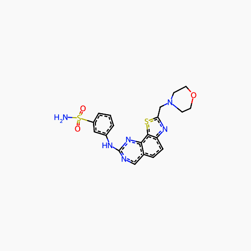 NS(=O)(=O)c1cccc(Nc2ncc3ccc4nc(CN5CCOCC5)sc4c3n2)c1